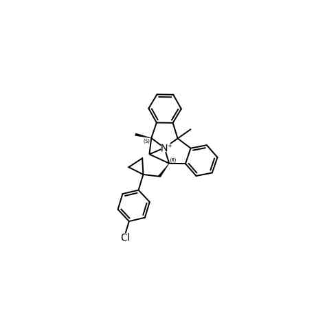 CC12c3ccccc3[C@@]3(C)C4[C@@](CC5(c6ccc(Cl)cc6)CC5)(c5ccccc51)[N+]423